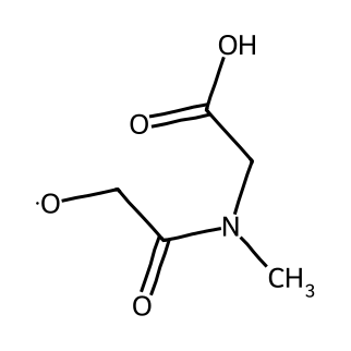 CN(CC(=O)O)C(=O)C[O]